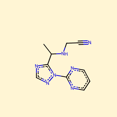 CC(NCC#N)c1ncnn1-c1ncccn1